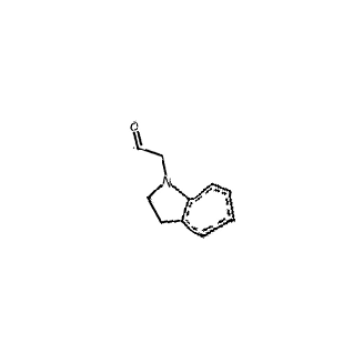 O=[C]CN1CCc2ccccc21